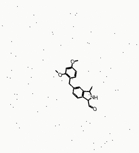 COc1ccc(Cc2ccc3c(c2)C(C)NC3C=O)c(OC)c1